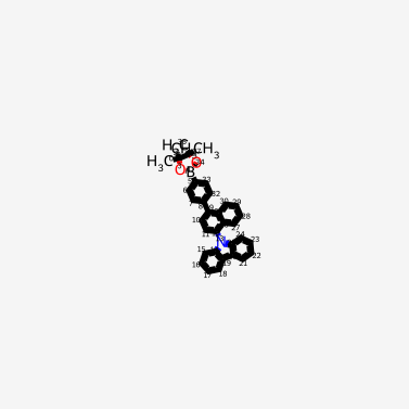 CC1(C)OB(c2ccc(-c3ccc(-n4c5ccccc5c5ccccc54)c4ccccc34)cc2)OC1(C)C